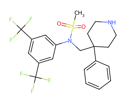 CS(=O)(=O)N(CC1(c2ccccc2)CCNCC1)c1cc(C(F)(F)F)cc(C(F)(F)F)c1